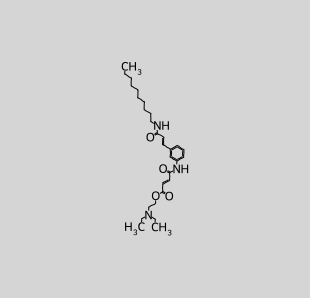 CCCCCCCCCCNC(=O)C=Cc1cccc(NC(=O)C=CC(=O)OCCN(CC)CC)c1